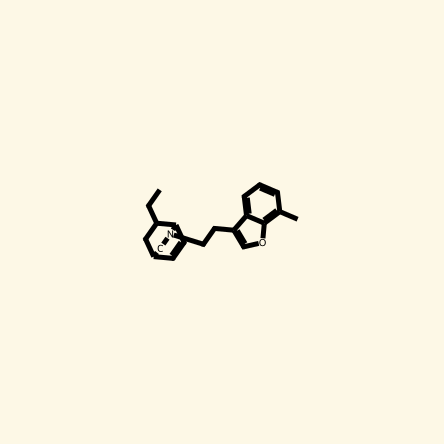 CCC1CC2C=CC1N(CCc1coc3c(C)cccc13)C2